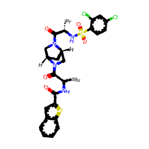 CC(C)[C@H](NS(=O)(=O)c1ccc(Cl)cc1Cl)C(=O)N1C[C@@H]2C[C@H]1CN2C(=O)C(NC(=O)c1cc2ccccc2s1)C(C)(C)C